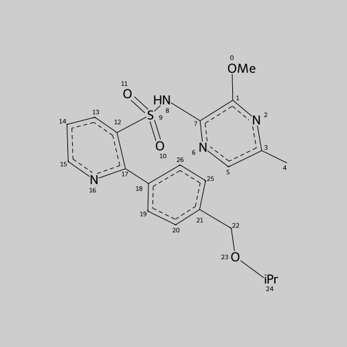 COc1nc(C)cnc1NS(=O)(=O)c1cccnc1-c1ccc(COC(C)C)cc1